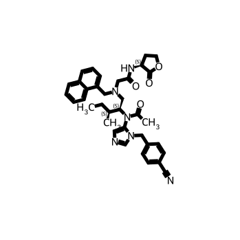 CC[C@H](C)[C@@H](CN(CC(=O)N[C@H]1CCOC1=O)Cc1cccc2ccccc12)N(C(C)=O)c1cncn1Cc1ccc(C#N)cc1